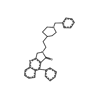 O=C1c2c(nc3ccccc3c2-c2ccccc2)CN1CCC1CCN(Cc2ccccc2)CC1